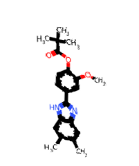 COc1cc(-c2nc3cc(C)c(C)cc3[nH]2)ccc1OC(=O)C(C)(C)C